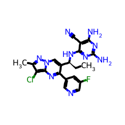 CC[C@H](Nc1nc(N)nc(N)c1C#N)c1cn2nc(C)c(Cl)c2nc1-c1cncc(F)c1